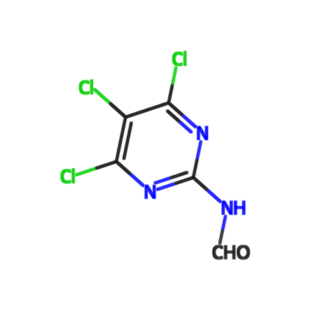 O=CNc1nc(Cl)c(Cl)c(Cl)n1